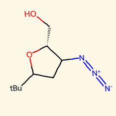 CC(C)(C)C1CC(N=[N+]=[N-])[C@@H](CO)O1